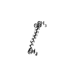 C.CCCCCCCCCCCCCCCC(=O)OC